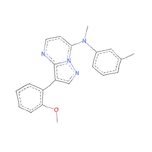 COc1ccccc1-c1cnn2c(N(C)c3cccc(C)c3)ccnc12